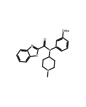 COc1cccc(N(C(=O)c2nc3ccccc3s2)C2CCN(C)CC2)c1